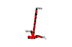 COCCOCCCC1(CCCOCCOCCOCCOCCOCCOCCOCCOCCOCCOCCOCCOC)c2cc(-c3ccccc3)ccc2-c2ccc(-c3ccc(OCCCCN)cc3)cc21